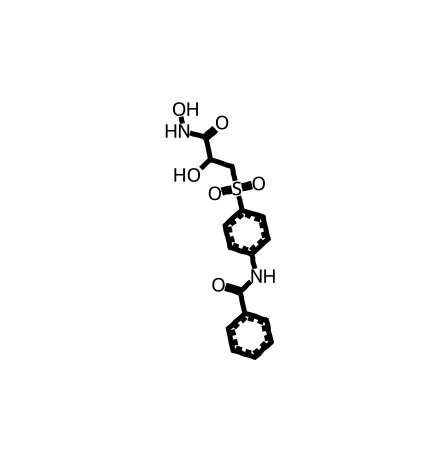 O=C(Nc1ccc(S(=O)(=O)CC(O)C(=O)NO)cc1)c1ccccc1